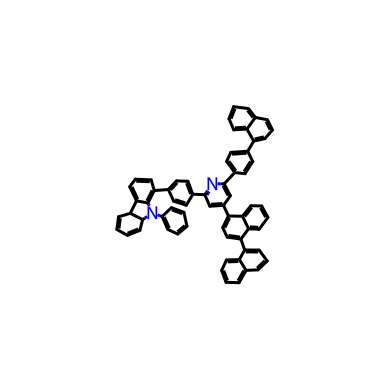 C1=CC2c3cccc(-c4ccc(-c5cc(-c6ccc(-c7cccc8ccccc78)c7ccccc67)cc(-c6ccc(-c7cccc8ccccc78)cc6)n5)cc4)c3N(c3ccccc3)C2C=C1